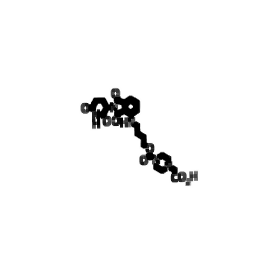 O=C(O)CN1CCN(C(=O)OCCCCNc2cccc3c2C(=O)N(C2CCC(=O)NC2=O)C3=O)CC1